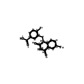 O=C(O)c1ccc(F)c(Cn2c(=O)[nH]c(=O)c3cc(F)ccc32)c1